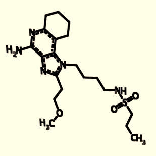 CCCS(=O)(=O)NCCCCn1c(CCOC)nc2c(N)nc3c(c21)CCCC3